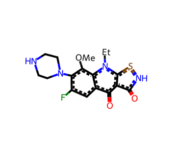 CCn1c2s[nH]c(=O)c2c(=O)c2cc(F)c(N3CCNCC3)c(OC)c21